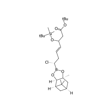 CC(C)(C)OC(=O)CC(C=CC[C@@H](Cl)B1O[C@@H]2[C@@H]3C[C@H](C[C@]2(C)O1)C3(C)C)O[Si](C)(C)C(C)(C)C